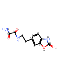 NC(=O)C(=O)NCCc1ccc2[nH]c(=O)oc2c1